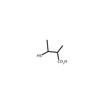 CC(S)C(C)C(=O)O